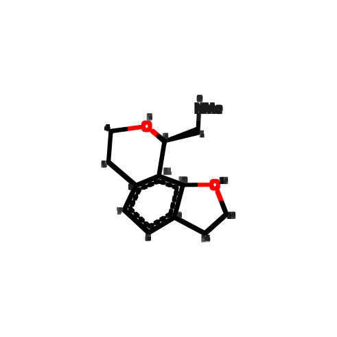 CNC[C@@H]1OCCc2ccc3c(c21)OCC3